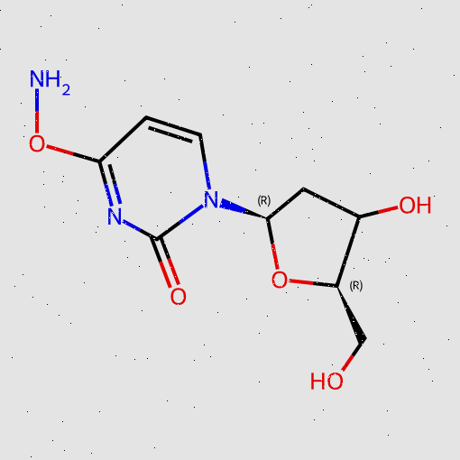 NOc1ccn([C@H]2CC(O)[C@@H](CO)O2)c(=O)n1